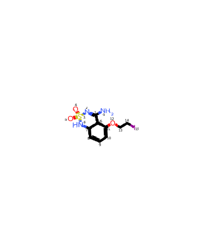 NC1=NS(=O)(=O)NC2C=CC=C(OCCI)C12